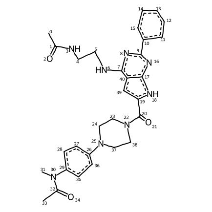 CC(=O)NCCNc1nc(-c2ccccc2)nc2[nH]c(C(=O)N3CCN(c4ccc(N(C)C(C)=O)cc4)CC3)cc12